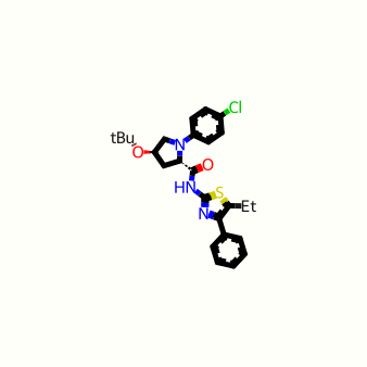 CCc1sc(NC(=O)[C@@H]2C[C@@H](OC(C)(C)C)CN2c2ccc(Cl)cc2)nc1-c1ccccc1